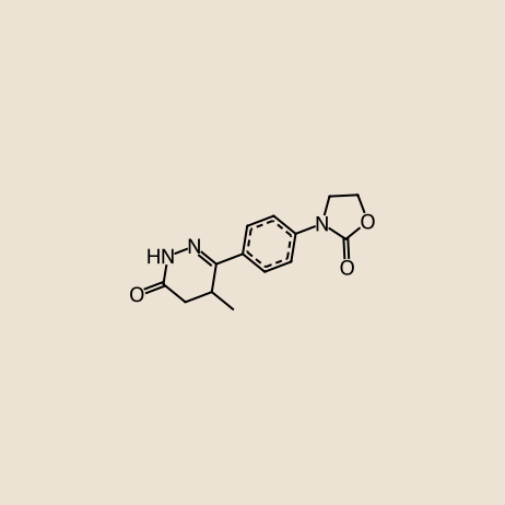 CC1CC(=O)NN=C1c1ccc(N2CCOC2=O)cc1